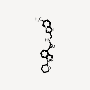 Cc1ccc2nc(CNC3OC3c3cccc4c3cnn4C3CCCCO3)cn2c1